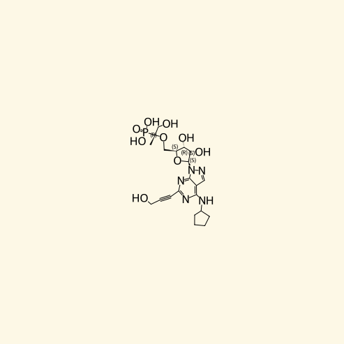 C[C@@](CO)(OC[C@@H]1O[C@H](n2ncc3c(NC4CCCC4)nc(C#CCO)nc32)[C@@H](O)[C@H]1O)P(=O)(O)O